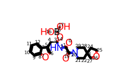 O=C(N[C@@H](Cc1coc2ccccc12)OB(O)O)C(=O)N1CCC2(CCOC2)CC1